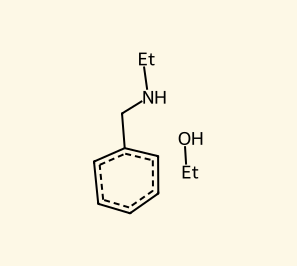 CCNCc1ccccc1.CCO